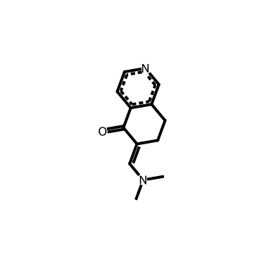 CN(C)/C=C1\CCc2cnccc2C1=O